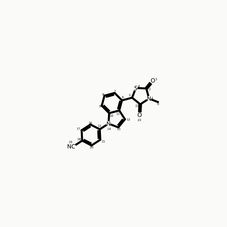 CN1C(=O)SC(c2cccc3c2ccn3-c2ccc(C#N)cc2)C1=O